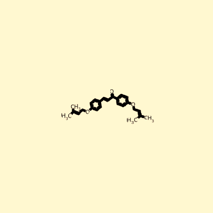 CC(C)=CCOc1ccc(C=CC(=O)c2ccc(OCC=C(C)C)cc2)cc1